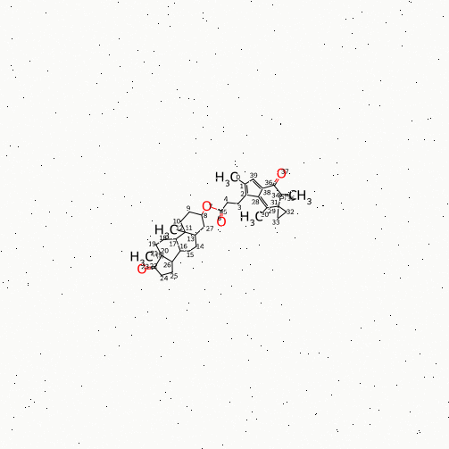 CC1=C(CCC(=O)OC2CCC3(C)C(CCC4C3CC[C@]3(C)C(=O)CCC43)C2)C2=C(C)C3(CC3)[C@H](C)C(=O)C2=C1